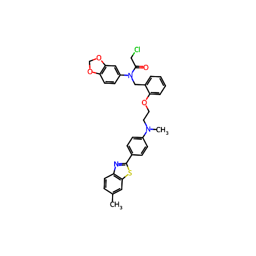 Cc1ccc2nc(-c3ccc(N(C)CCOc4ccccc4CN(C(=O)CCl)c4ccc5c(c4)OCO5)cc3)sc2c1